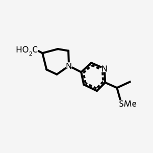 CSC(C)c1ccc(N2CCC(C(=O)O)CC2)cn1